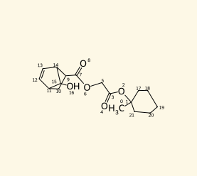 CC1(OC(=O)COC(=O)C2CC3C=CC2C3O)CCCCC1